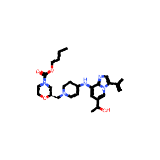 C=C(C)c1cnc2c(NC3CCN(C[C@@H]4CN(C(=O)OCCCC)CCO4)CC3)cc(C(C)O)cn12